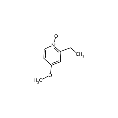 CCc1cc(OC)cc[n+]1[O-]